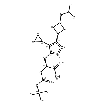 CC(C)C[C@H]1C[C@@H](c2onc(C[C@H](CC(=O)OC(C)(C)C)C(=O)O)c2C2CC2)C1